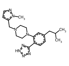 CC(C)Cc1ccc(-c2nn[nH]n2)c(N2CCN(Cc3ccnn3C)CC2)c1